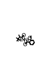 COc1ccccc1C(=O)NNC(=O)C(C)C(C)(C)C